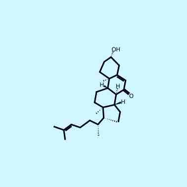 CC(C)=CCC[C@@H](C)[C@H]1CC[C@H]2[C@@H]3C(=O)C=C4C[C@@H](O)CC[C@]4(C)[C@H]3CC[C@]12C